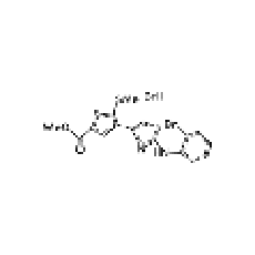 Br.COC(=O)c1cc(-c2csc(Nc3ccccc3Br)n2)c(SC)s1